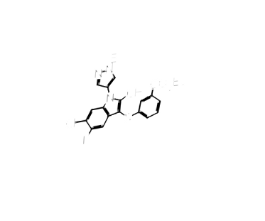 CCOC(=O)c1cccc(Sc2c(C)n(-c3cnn(CC)c3)c3cc(Cl)c(F)cc23)c1